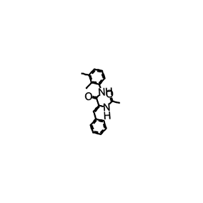 CC(=O)NC(=Cc1ccccc1)C(=O)Nc1cccc(C)c1C